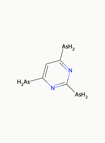 [AsH2]c1cc([AsH2])nc([AsH2])n1